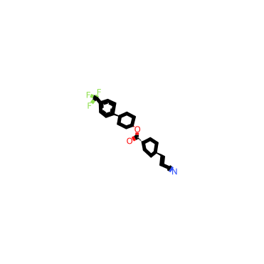 N#CC=C[C@H]1CC[C@H](C(=O)O[C@H]2CC[C@H](c3ccc(C(F)(F)F)cc3)CC2)CC1